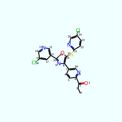 CCC(=O)c1ccc(-c2nc(-c3cncc(Cl)c3)oc2Sc2ccc(Cl)cn2)cn1